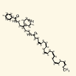 CC/C=C\C/C=C\C/C=C\C/C=C\C/C=C\C/C=C\CCC(=O)NCCC(CCNC(=O)c1cccnc1)N1CCNCC1